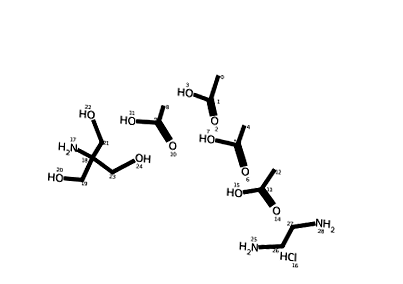 CC(=O)O.CC(=O)O.CC(=O)O.CC(=O)O.Cl.NC(CO)(CO)CO.NCCN